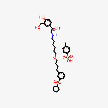 Cc1ccc(S(=O)(=O)O)cc1.O=S(=O)(c1cccc(CCCCOCCCCCCNC[C@H](O)c2ccc(O)c(CO)c2)c1)C1CCCC1